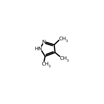 Cc1n[nH]c(C)c1C